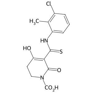 Cc1c(Cl)cccc1NC(=S)C1=C(O)CCN(C(=O)O)C1=O